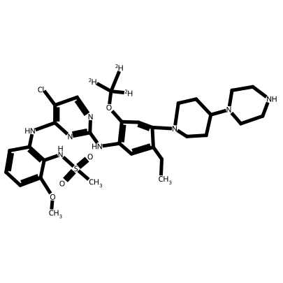 [2H]C([2H])([2H])Oc1cc(N2CCC(N3CCNCC3)CC2)c(CC)cc1Nc1ncc(Cl)c(Nc2cccc(OC)c2NS(C)(=O)=O)n1